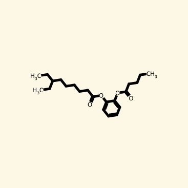 CCCCC(=O)Oc1ccccc1OC(=O)CCCCCC(CC)CC